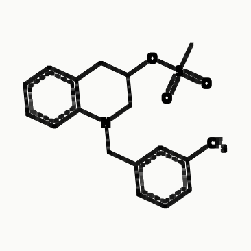 CS(=O)(=O)OC1Cc2ccccc2N(Cc2cccc(C(F)(F)F)c2)C1